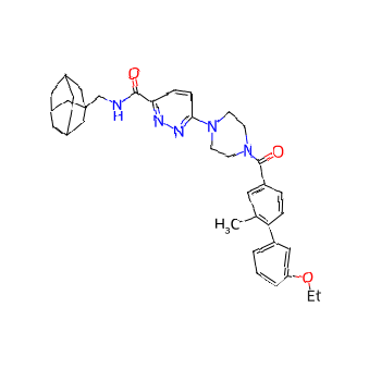 CCOc1cccc(-c2ccc(C(=O)N3CCN(c4ccc(C(=O)NCC56CC7CC(CC(C7)C5)C6)nn4)CC3)cc2C)c1